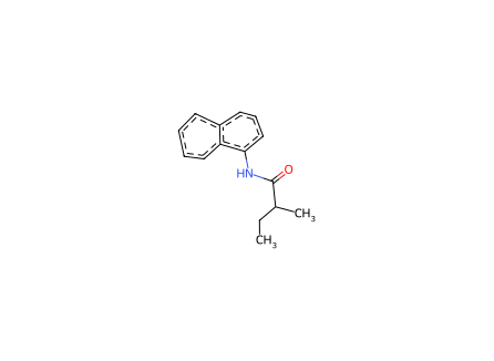 CCC(C)C(=O)Nc1cccc2ccccc12